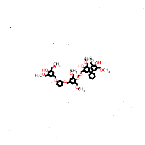 COCc1cc(COc2cccc(OCc3cc(COC)c(OCOCc4cc(C5(c6cc(COC)c(O)c(COC)c6)CCCCC5)cc(COC)c4O)c(COC)c3)c2)cc(COC)c1O